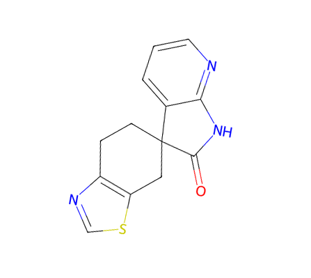 O=C1Nc2ncccc2C12CCc1ncsc1C2